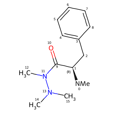 CN[C@H](Cc1ccccc1)C(=O)N(C)N(C)C